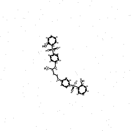 CC(CCOc1ccc(S(=O)(=O)c2ccccc2O)cc1)Oc1ccc(S(=O)(=O)c2ccccc2O)cc1